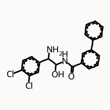 NC(c1ccc(Cl)c(Cl)c1)C(O)NC(=O)c1cccc(-c2ccccc2)c1